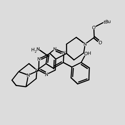 CC(C)(C)OC(=O)N1CCC(c2cnc(N3C4CCC3CN(c3cc(-c5ccccc5O)nnc3N)C4)nc2)CC1